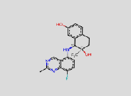 Cc1ncc2c(N[C@H]3c4cc(O)ccc4CC[C@]3(O)C(F)(F)F)ccc(F)c2n1